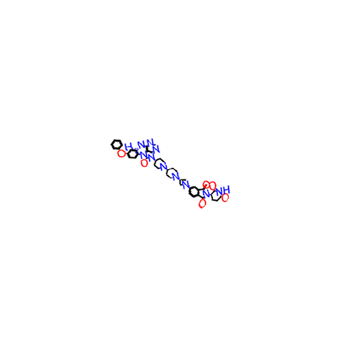 Nc1ncnc2c1n(-c1ccc(Oc3ccccc3)cc1)c(=O)n2C1CCN(C2CCN(C3CN(c4ccc5c(c4)C(=O)N(C4CCC(=O)NC4=O)C5=O)C3)CC2)CC1